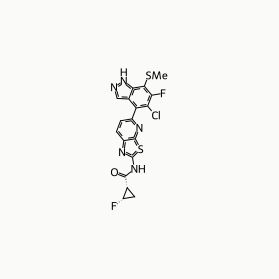 CSc1c(F)c(Cl)c(-c2ccc3nc(NC(=O)[C@@H]4C[C@@H]4F)sc3n2)c2cn[nH]c12